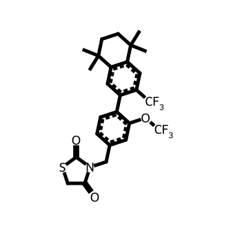 CC1(C)CCC(C)(C)c2cc(C(F)(F)F)c(-c3ccc(CN4C(=O)CSC4=O)cc3OC(F)(F)F)cc21